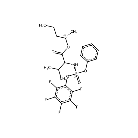 CCC[C@H](C)OC(=O)C(N[P@](=O)(Oc1ccccc1)Oc1c(F)c(F)c(F)c(F)c1F)C(C)C